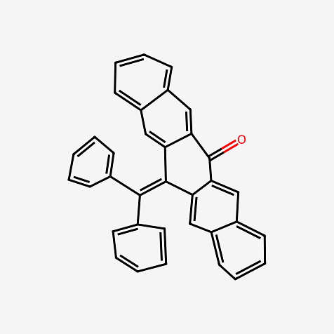 O=C1c2cc3ccccc3cc2C(=C(c2ccccc2)c2ccccc2)c2cc3ccccc3cc21